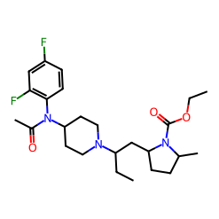 CCOC(=O)N1C(C)CCC1CC(CC)N1CCC(N(C(C)=O)c2ccc(F)cc2F)CC1